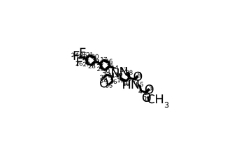 COC(=O)CCNC(=O)c1ccc(N(Cc2ccc(-c3ccc(C(F)(F)F)cc3)cc2)C2CCOCC2)nc1